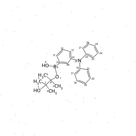 CC(C)(O)C(C)(C)OB(O)c1cccc(N(c2ccccc2)c2ccccc2)c1